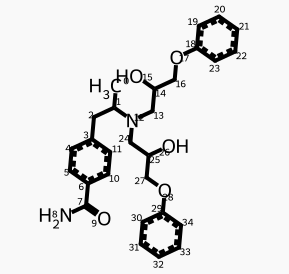 CC(Cc1ccc(C(N)=O)cc1)N(CC(O)COc1ccccc1)CC(O)COc1ccccc1